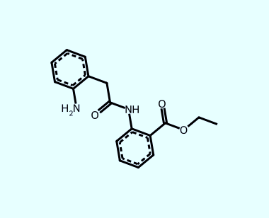 CCOC(=O)c1ccccc1NC(=O)Cc1ccccc1N